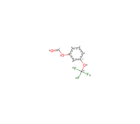 O=COc1cccc(OC(F)(F)F)c1